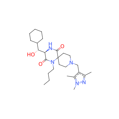 CCCCN1C(=O)[C@@H]([C@H](O)C2CCCCC2)NC(=O)C12CCN(Cc1c(C)nn(C)c1C)CC2